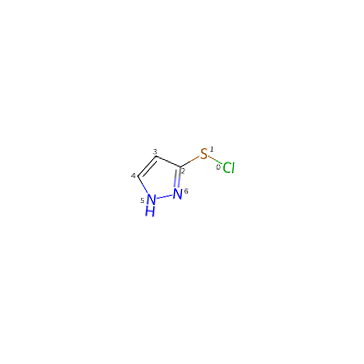 ClSc1cc[nH]n1